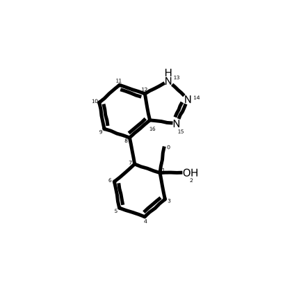 CC1(O)C=CC=CC1c1cccc2[nH]nnc12